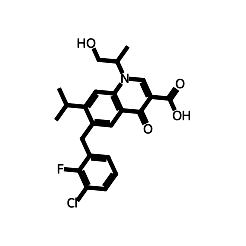 CC(C)c1cc2c(cc1Cc1cccc(Cl)c1F)c(=O)c(C(=O)O)cn2C(C)CO